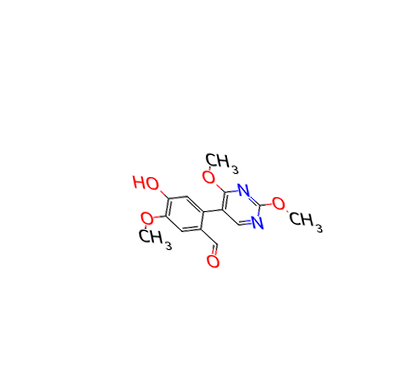 COc1ncc(-c2cc(O)c(OC)cc2C=O)c(OC)n1